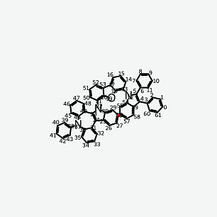 c1ccc(-c2c(-c3ccccc3)n(-c3cccc4c3oc3c(-n5c6c(c7ccccc75)-c5ccccc5N(c5ccccc5)c5ccccc5-6)cccc34)c3ccccc23)cc1